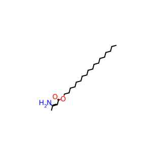 CCCCCCCCCCCCCCCCCCOC(=O)/C=C(/C)N